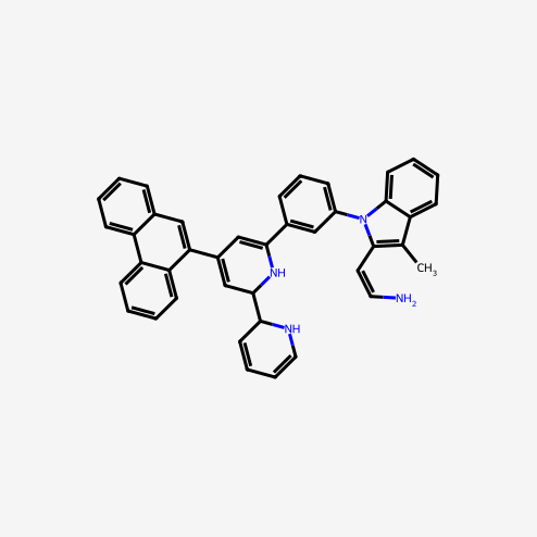 Cc1c(/C=C\N)n(-c2cccc(C3=CC(c4cc5ccccc5c5ccccc45)=CC(C4C=CC=CN4)N3)c2)c2ccccc12